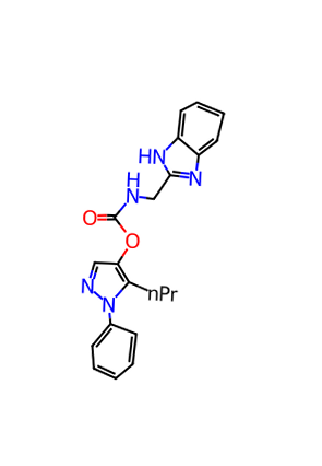 CCCc1c(OC(=O)NCc2nc3ccccc3[nH]2)cnn1-c1ccccc1